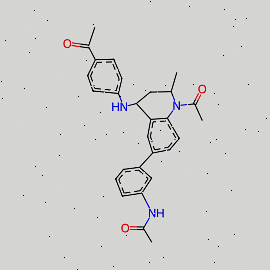 CC(=O)Nc1cccc(-c2ccc3c(c2)C(Nc2ccc(C(C)=O)cc2)CC(C)N3C(C)=O)c1